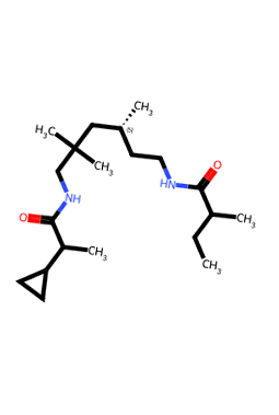 CCC(C)C(=O)NCC[C@@H](C)CC(C)(C)CNC(=O)C(C)C1CC1